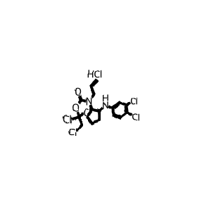 C=CCN(C(=O)OC(Cl)(Cl)CCl)C1CCCC1Nc1ccc(Cl)c(Cl)c1.Cl